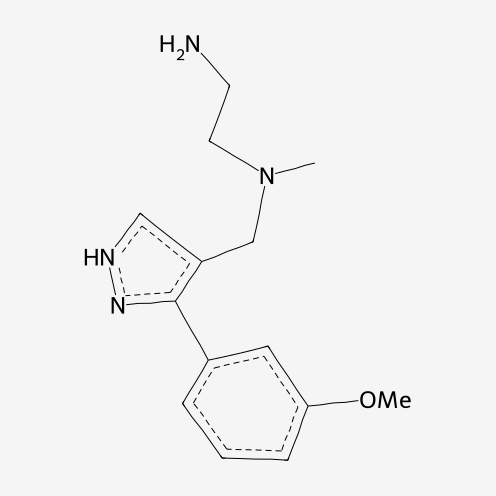 COc1cccc(-c2n[nH]cc2CN(C)CCN)c1